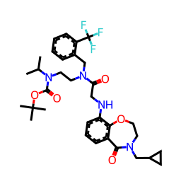 CC(C)N(CCN(Cc1ccccc1C(F)(F)F)C(=O)CNc1cccc2c1OCCN(CC1CC1)C2=O)C(=O)OC(C)(C)C